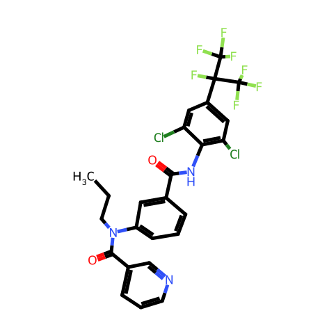 CCCN(C(=O)c1cccnc1)c1cccc(C(=O)Nc2c(Cl)cc(C(F)(C(F)(F)F)C(F)(F)F)cc2Cl)c1